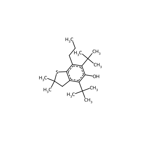 CCCc1c2c(c(C(C)(C)C)c(O)c1C(C)(C)C)CC(C)(C)S2